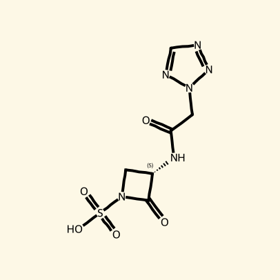 O=C(Cn1ncnn1)N[C@H]1CN(S(=O)(=O)O)C1=O